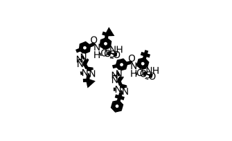 COc1c(NC(=O)c2ccc(C)c(-n3cc(-c4cnc(C(C)(C)c5ccccc5)n4C)nn3)c2)cc(C(C)(C)C)cc1NS(C)(=O)=O.COc1c(NC(=O)c2ccc(C)c(-n3cc(-c4cnc(C5(C)CC5)n4C)nn3)c2)cc(C2(C)CC2)cc1NS(C)(=O)=O